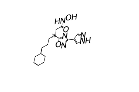 O=C(C[C@@H](CCCC1CCCCC1)c1nc(-c2cn[nH]c2)no1)NO